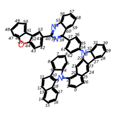 c1cc(-n2c3ccccc3c3ccc4ccccc4c32)c2cc3c(cc2c1)c1ccccc1n3-c1ccc(-c2nc(-c3ccc4oc5ccccc5c4c3)nc3ccccc23)cc1